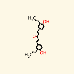 C=CCc1cc(/C=C/C(=O)/C=C/c2ccc(O)c(CC=C)c2)ccc1O